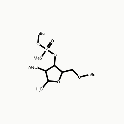 BC1OC(COCCCC)C(OP(=O)(OCCCC)SC)C1OC